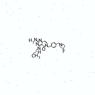 CCCCNc1nc(N)nc2ccn(Cc3ccc(CN4CCC(F)C4)cc3)c(=O)c12